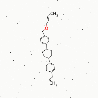 C=CCc1ccc(C2CCC(c3ccc(COCC=CC)cc3)CC2)cc1